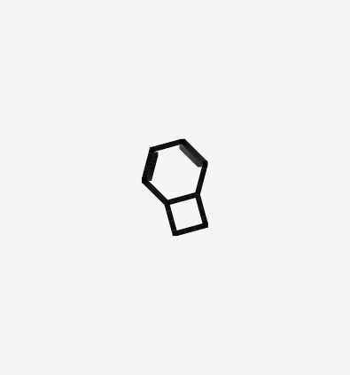 C1=CC2CCC2C=C1